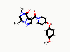 Cc1cn(C)c(=O)c2c(C(=O)N3CCC(Oc4ccc(OC(F)(F)F)cc4)CC3)cnn12